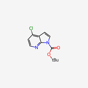 CC(C)(C)OC(=O)n1ccc2c(Cl)ccnc21